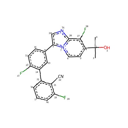 CC(C)(O)c1ccn2c(-c3ccc(F)c(-c4cccc(F)c4C#N)c3)cnc2c1F